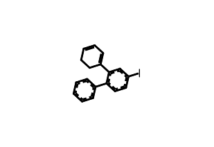 Ic1ccc(-c2ccccc2)c(C2=CC=CCC2)c1